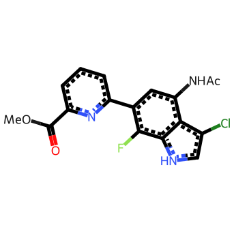 COC(=O)c1cccc(-c2cc(NC(C)=O)c3c(Cl)c[nH]c3c2F)n1